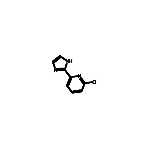 Clc1cccc(-c2ncc[nH]2)n1